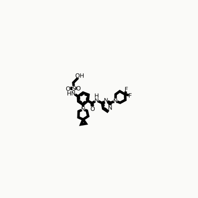 O=C(Nc1ccnc(N2CCC(F)(F)CC2)n1)c1ccc(NS(=O)(=O)CCO)cc1N1CCC2(CC1)CC2